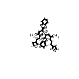 CC(=CC(c1nc2ccccc2s1)S(=O)(=O)C(C=C(C)CCCc1ccoc1)c1nc2ccccc2s1)CCCc1ccoc1